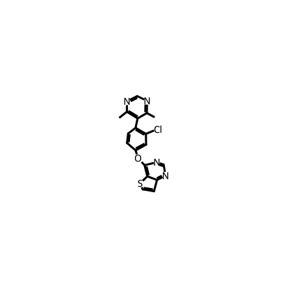 Cc1ncnc(C)c1-c1ccc(Oc2ncnc3ccsc23)cc1Cl